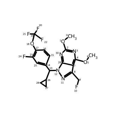 COc1nc(OC)c2c(CF)nn(C(c3ccc(OC(F)(F)F)c(F)c3)C3CC3)c2n1